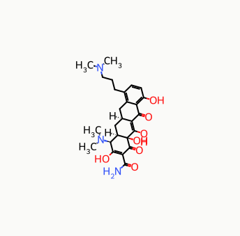 CN(C)CCCc1ccc(O)c2c1C[C@@H]1C[C@@H]3[C@H](N(C)C)C(O)=C(C(N)=O)C(=O)[C@@]3(O)C(O)=C1C2=O